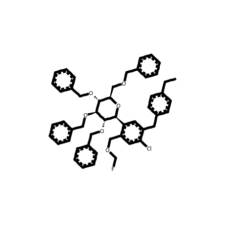 CCc1ccc(Cc2cc([C@@H]3O[C@H](COCc4ccccc4)[C@@H](OCc4ccccc4)[C@H](OCc4ccccc4)[C@H]3OCc3ccccc3)c(COCF)cc2Cl)cc1